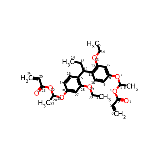 C=CC(=O)OC(C)Oc1ccc(C(CC)c2ccc(OC(C)OC(=O)C=C)cc2OCC)c(OCC)c1